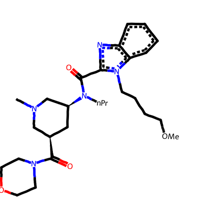 CCCN(C(=O)c1nc2ccccc2n1CCCCOC)[C@H]1C[C@@H](C(=O)N2CCOCC2)CN(C)C1